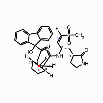 CS(=O)(=O)/C(F)=C\[C@H](C[C@@H]1CCNC1=O)NC(=O)[C@H]1[C@@H]2CC[C@@H](CC2(F)F)N1C(=O)C1(O)c2ccccc2-c2ccccc21